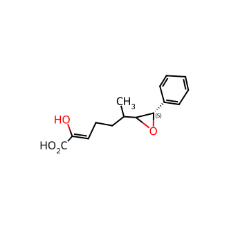 CC(CCC=C(O)C(=O)O)C1O[C@H]1c1ccccc1